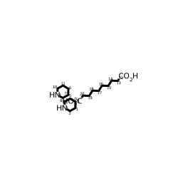 C1CCNCC1.C1CCNCC1.O=C(O)CCCCCCCCC(=O)O